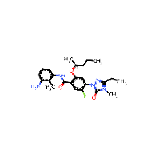 CCC[C@H](C)Oc1cc(-n2nc(CC)n(C)c2=O)c(F)cc1C(=O)Nc1cccc(N)c1C